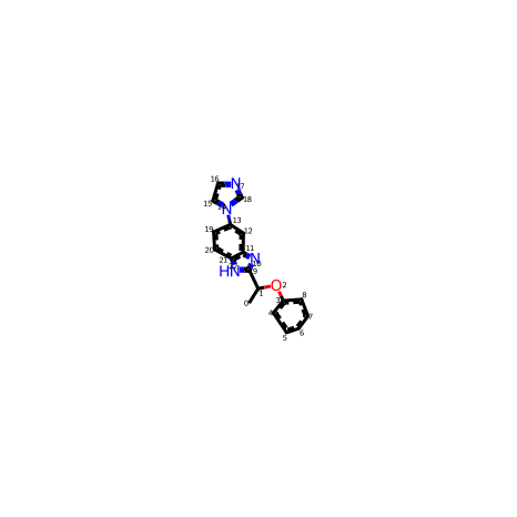 CC(Oc1ccccc1)c1nc2cc(-n3ccnc3)ccc2[nH]1